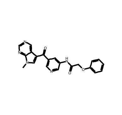 Cn1cc(C(=O)c2cncc(NC(=O)COc3ccccc3)c2)c2cncnc21